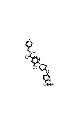 CCc1cc(C(=O)NCc2ccncc2)nnc1N1CCC(Oc2ccc(OC)nc2)CC1